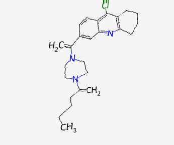 C=C(CCCC)N1CCN(C(=C)c2ccc3c(Cl)c4c(nc3c2)CCCC4)CC1